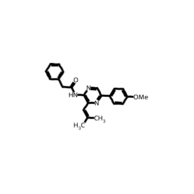 COc1ccc(-c2cnc(NC(=O)Cc3ccccc3)c(C=C(C)C)n2)cc1